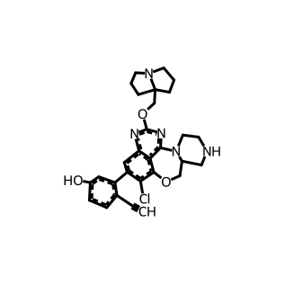 C#Cc1ccc(O)cc1-c1cc2nc(OCC34CCCN3CCC4)nc3c2c(c1Cl)OCC1CNCCN31